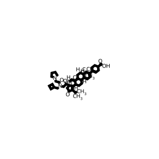 CC(C)C1=C2[C@H]3CC[C@@H]4[C@@]5(C)CC=C(C6=CCC(C(=O)O)CC6)C(C)(C)[C@@H]5CC[C@@]4(C)[C@]3(C)CC[C@@]2([C@@H](O)CN(CC2CCC2)C(=O)CN2CCCC2)CC1=O